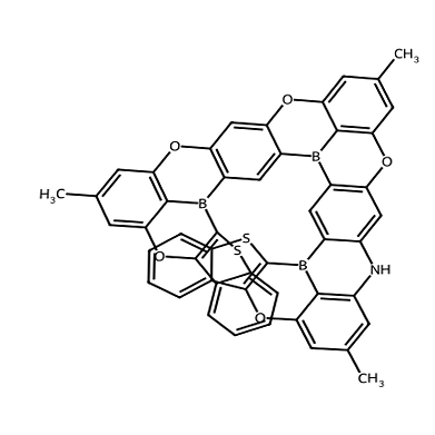 Cc1cc2c3c(c1)Oc1c(sc4ccccc14)B3c1cc3c(cc1N2)Oc1cc(C)cc2c1B3c1cc3c(cc1O2)Oc1cc(C)cc2c1B3c1sc3ccccc3c1O2